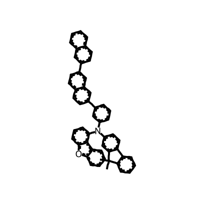 CC1(C)c2ccccc2-c2ccc(N(c3cccc(-c4ccc5ccc(-c6ccc7ccccc7c6)cc5c4)c3)c3cccc4oc5ccccc5c34)cc21